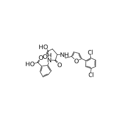 O=C(O)CC(NCc1ccc(-c2cc(Cl)ccc2Cl)o1)C(=O)Nc1ccccc1C(=O)O